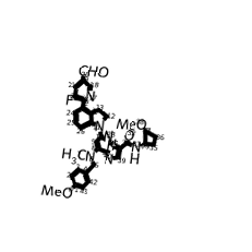 COc1ccc(CN(C)c2cc(N3CCc4c(-c5ncc(C=O)cc5F)cccc43)nn3c(C(=O)N[C@@H]4CC[C@H]4OC)cnc23)cc1